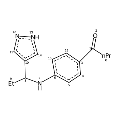 CCCC(=O)c1ccc(NC(CC)c2cn[nH]c2)cc1